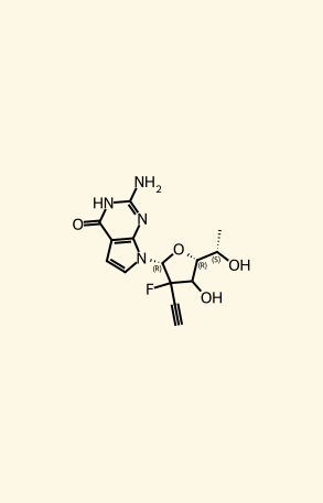 C#CC1(F)C(O)[C@@H]([C@H](C)O)O[C@H]1n1ccc2c(=O)[nH]c(N)nc21